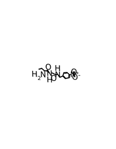 CC[C@@H](N)C(=O)NCC(=O)NCc1ccc([N+](=O)[O-])cc1